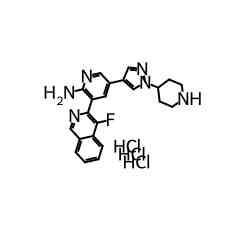 Cl.Cl.Cl.Nc1ncc(-c2cnn(C3CCNCC3)c2)cc1-c1ncc2ccccc2c1F